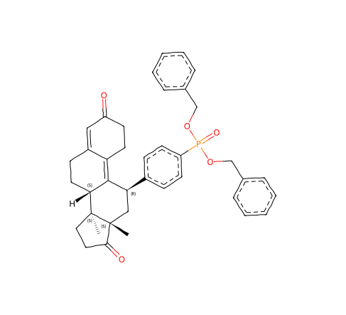 C[C@@]12CCC(=O)[C@@]1(C)C[C@H](c1ccc(P(=O)(OCc3ccccc3)OCc3ccccc3)cc1)C1=C3CCC(=O)C=C3CC[C@H]12